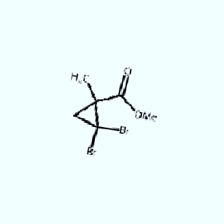 COC(=O)C1(C)CC1(Br)Br